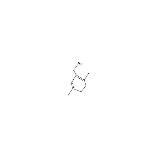 CC(=O)CC1=C(C)CCC(C)=C1